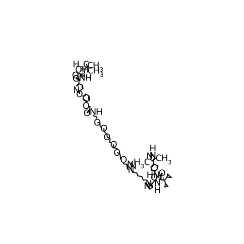 Cc1n[nH]c(C)c1-c1ccc(NC(=O)[C@@H](NC(=O)c2ccnn2CCCCCCn2cc(COCCOCCOCCOCCOCCOCCNC(=O)COc3cccc(Oc4ccc(C(=O)N[C@@H](CCC(C)(C)C)C(=O)O)cn4)c3)nn2)C(C2CC2)C2CC2)cc1